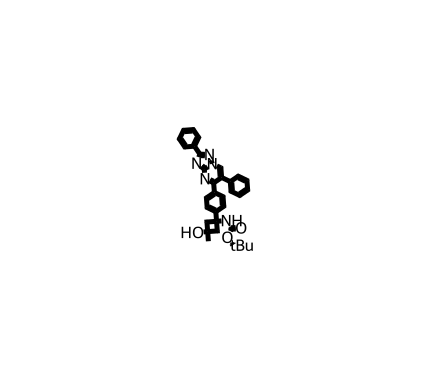 CC1(O)CC(NC(=O)OC(C)(C)C)(c2ccc(-c3nc4nc(-c5ccccc5)nn4cc3-c3ccccc3)cc2)C1